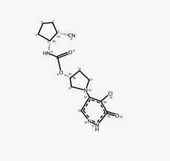 N#C[C@H]1CCC[C@H]1NC(=O)O[C@@H]1CCN(c2cn[nH]c(=O)c2Cl)C1